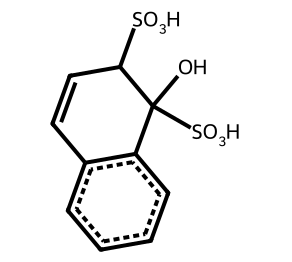 O=S(=O)(O)C1C=Cc2ccccc2C1(O)S(=O)(=O)O